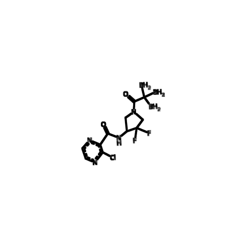 BC(B)(B)C(=O)N1CC(NC(=O)c2nccnc2Cl)C(F)(F)C1